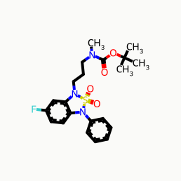 CN(CCCN1c2cc(F)ccc2N(c2ccccc2)S1(=O)=O)C(=O)OC(C)(C)C